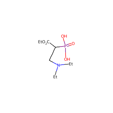 CCOC(=O)C(CN(CC)CC)P(=O)(O)O